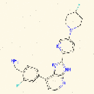 NCc1ccc(-c2ccnc3[nH]c(-c4ccc(N5CCC(F)CC5)cn4)nc23)cc1F